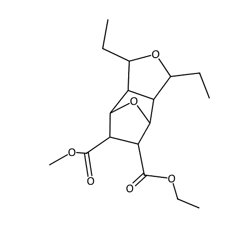 CCOC(=O)C1C2OC(C1C(=O)OC)C1C(CC)OC(CC)C21